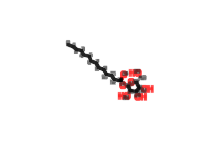 CCCCCCCCCCCCCC(=O)O[C@H]1O[C@H](CO)[C@@H](O)[C@H](O)[C@H]1O